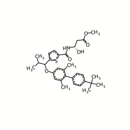 COC(=O)C[C@H](O)NC(=O)c1ccc(C(Oc2cc(C)c(-c3ccc(C(C)(C)C)cc3)c(C)c2)C(C)C)s1